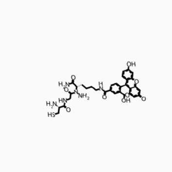 NC(=O)[C@H](CCCCNC(=O)c1ccc(-c2c3ccc(=O)cc-3oc3cc(O)ccc23)c(C(=O)O)c1)N(N)C(=O)CNC(=O)[C@@H](N)CS